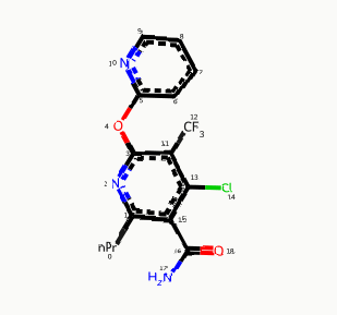 CCCc1nc(Oc2ccccn2)c(C(F)(F)F)c(Cl)c1C(N)=O